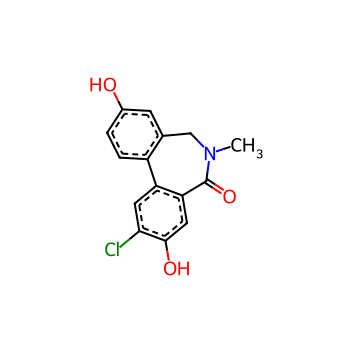 CN1Cc2cc(O)ccc2-c2cc(Cl)c(O)cc2C1=O